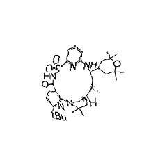 C[C@H]1CC(C2CC(C)(C)OC(C)(C)C2)Nc2cccc(n2)S(=O)(=O)NC(=O)c2ccc(C(C)(C)C)nc2N2C[C@@H]1CC2(C)C